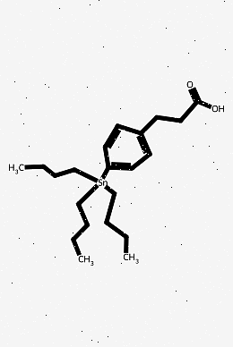 CCC[CH2][Sn]([CH2]CCC)([CH2]CCC)[c]1ccc(CCC(=O)O)cc1